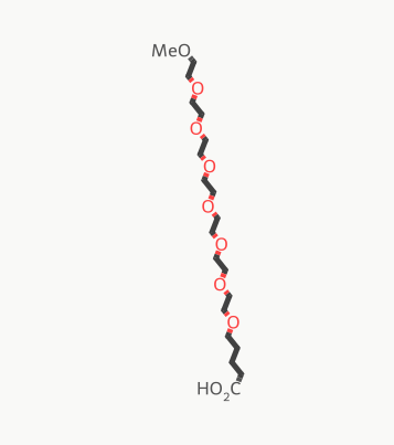 COCCOCCOCCOCCOCCOCCOCCOCCCCC(=O)O